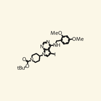 COc1ccc(CNc2ncnc3c2c(I)cn3C2CCN(C(=O)OC(C)(C)C)CC2)c(OC)c1